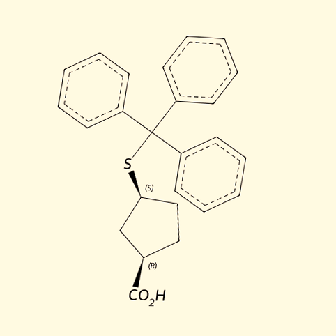 O=C(O)[C@@H]1CC[C@H](SC(c2ccccc2)(c2ccccc2)c2ccccc2)C1